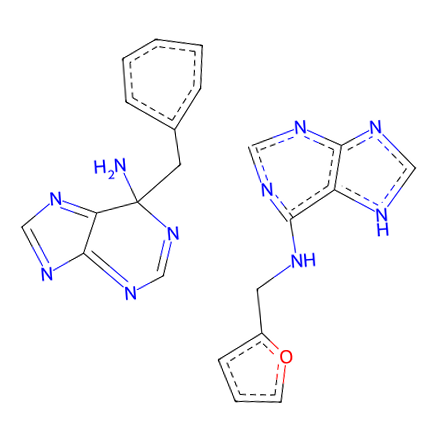 NC1(Cc2ccccc2)N=CN=C2N=CN=C21.c1coc(CNc2ncnc3nc[nH]c23)c1